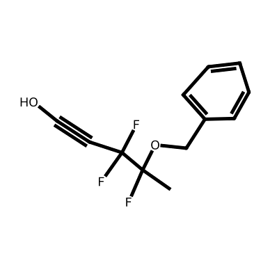 CC(F)(OCc1ccccc1)C(F)(F)C#CO